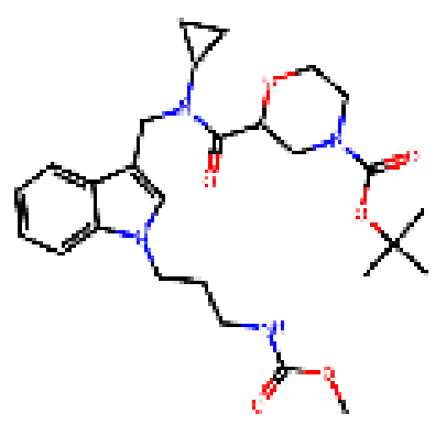 COC(=O)NCCCn1cc(CN(C(=O)C2CN(C(=O)OC(C)(C)C)CCO2)C2CC2)c2ccccc21